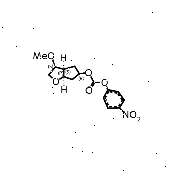 CO[C@@H]1CO[C@@H]2C[C@H](OC(=O)Oc3ccc([N+](=O)[O-])cc3)C[C@H]12